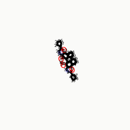 O=C(/C=C\c1cc2ccccc2c2c1OCOc1c(/C=C\C(=O)C3CCCC3)cc3ccccc3c1-2)C1CCCC1